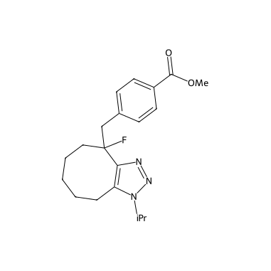 COC(=O)c1ccc(CC2(F)CCCCCc3c2nnn3C(C)C)cc1